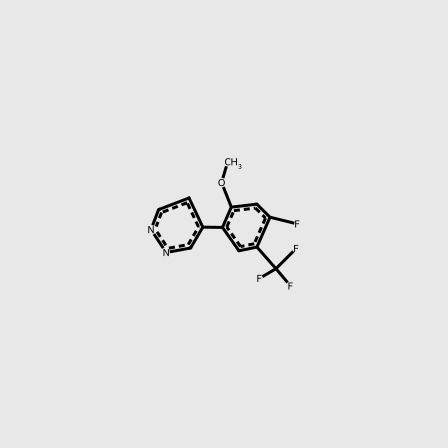 COc1cc(F)c(C(F)(F)F)cc1-c1ccnnc1